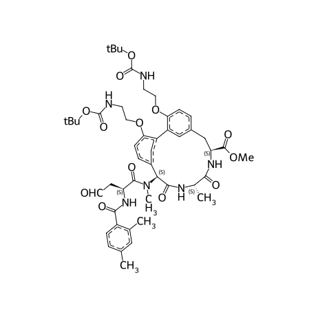 COC(=O)[C@@H]1Cc2ccc(OCCNC(=O)OC(C)(C)C)c(c2)-c2cc(ccc2OCCNC(=O)OC(C)(C)C)[C@H](N(C)C(=O)[C@H](CC=O)NC(=O)c2ccc(C)cc2C)C(=O)N[C@@H](C)C(=O)N1